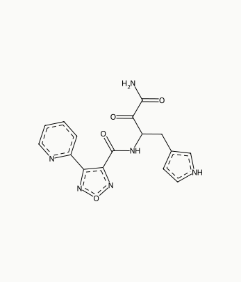 NC(=O)C(=O)C(Cc1cc[nH]c1)NC(=O)c1nonc1-c1ccccn1